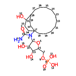 NC(=O)N(C1OC(COP(=O)(O)O)C(O)C1O)C12CCCCCCCCCCC(CC1)C(O)CC2